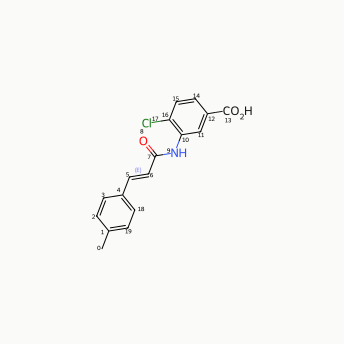 Cc1ccc(/C=C/C(=O)Nc2cc(C(=O)O)ccc2Cl)cc1